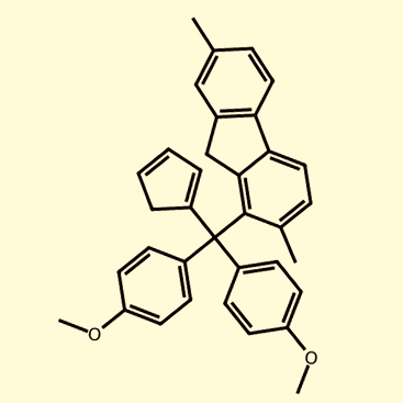 COc1ccc(C(C2=CC=CC2)(c2ccc(OC)cc2)c2c(C)ccc3c2Cc2cc(C)ccc2-3)cc1